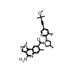 COC(C)(C)C#Cc1cnc(N2CC(C)CN2C(=O)c2cc3c(cc2C)nc(N)c2cnn(C)c23)c(F)c1